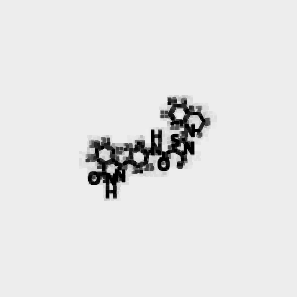 Cc1nc(N2CCCc3ccccc32)sc1C(=O)Nc1ccc(-c2n[nH]c(=O)c3ccccc23)cc1